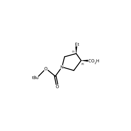 CC[C@@H]1CN(C(=O)OC(C)(C)C)C[C@@H]1C(=O)O